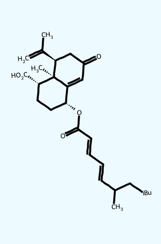 C=C(C)[C@H]1CC(=O)C=C2[C@H](OC(=O)/C=C/C=C/C(C)CC(C)CC)CC[C@H](C(=O)O)[C@]21C